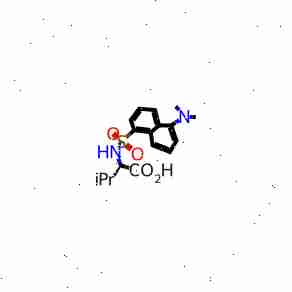 CC(C)[C@@H](NS(=O)(=O)c1cccc2c(N(C)C)cccc12)C(=O)O